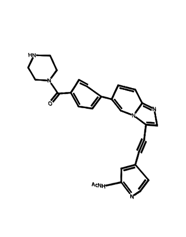 CC(=O)Nc1cc(C#Cc2cnc3ccc(-c4ccc(C(=O)N5CCNCC5)cc4)cn23)ccn1